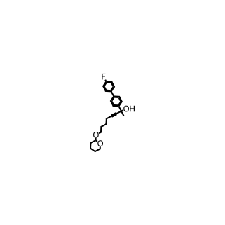 CC(O)(C#CCCCCOC1CCCCO1)c1ccc(-c2ccc(F)cc2)cc1